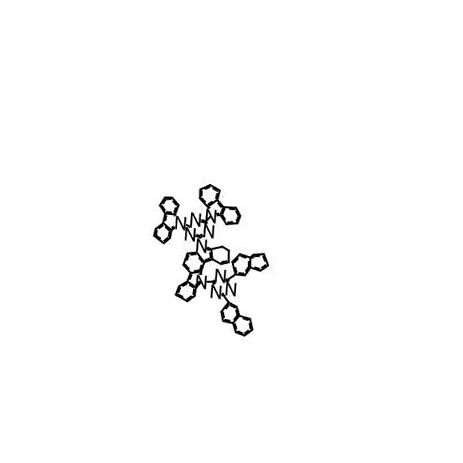 C1=Cc2c(n(-c3nc(-n4c5ccccc5c5ccccc54)nc(-n4c5ccccc5c5ccccc54)n3)c3ccc4c5ccccc5n(-c5nc(-c6ccc7ccccc7c6)nc(-c6ccc7ccccc7c6)n5)c4c23)CC1